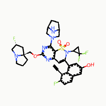 C#Cc1c(F)ccc2cc(O)cc(C3=Cc4nc(OC[C@@]56CCCN5C[C@H](F)C6)nc(N5CC6CCC(C5)N6)c4S(=O)(=O)N3C3CC3(F)F)c12